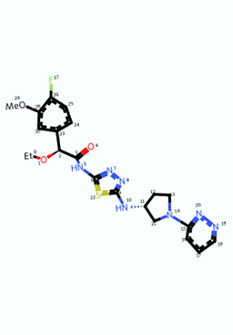 CCO[C@H](C(=O)Nc1nnc(N[C@@H]2CCN(c3cccnn3)C2)s1)c1ccc(F)c(OC)c1